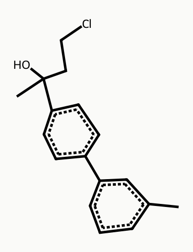 Cc1cccc(-c2ccc(C(C)(O)CCCl)cc2)c1